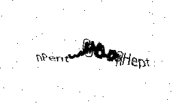 CCCCCCCOc1ccc(-c2ccc(C(C)OC(=O)CCCCCC(C)CCCCC)cc2)cc1